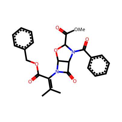 COC(=O)C1OC2C(C(=O)N2C(C(=O)OCc2ccccc2)=C(C)C)N1C(=O)c1ccccc1